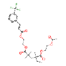 CCC(C)(CC(C)(C)C(=O)OCCOC(=O)/C=C/c1cccc(C(F)(F)F)c1)C(=O)OCCOC(C)=O